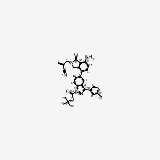 C=C(C#N)CN1Cc2c(-c3ccc4c(c3)c(-c3csc(C)c3)nn4C(=O)OC(C)(C)C)ccc(N)c2C1=O